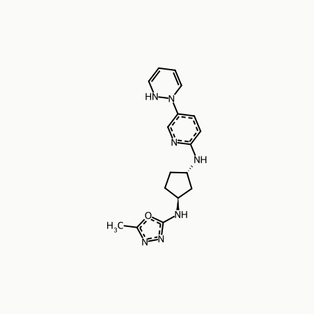 Cc1nnc(N[C@H]2CC[C@H](Nc3ccc(N4C=CC=CN4)cn3)C2)o1